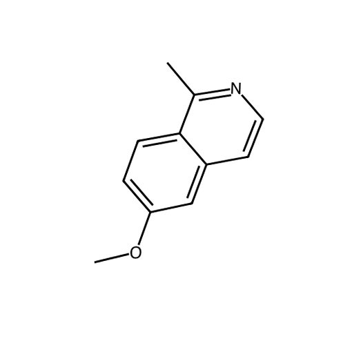 COc1ccc2c(C)nccc2c1